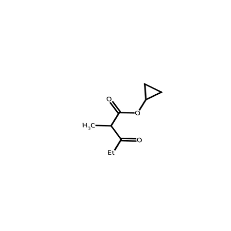 CCC(=O)C(C)C(=O)OC1CC1